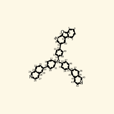 c1ccc2c(c1)oc1ncc(-c3ccc(N(c4ccc(-c5ccc6cnccc6c5)cc4)c4ccc(-c5ccc6cnccc6c5)cc4)cc3)cc12